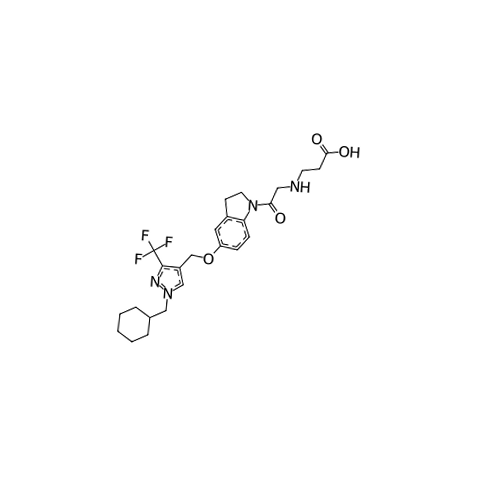 O=C(O)CCNCC(=O)N1CCc2cc(OCc3cn(CC4CCCCC4)nc3C(F)(F)F)ccc21